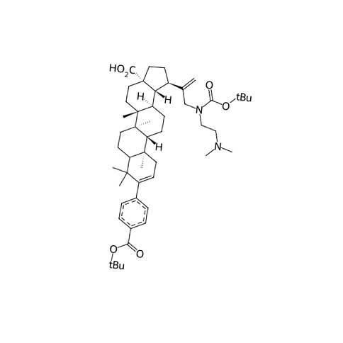 C=C(CN(CCN(C)C)C(=O)OC(C)(C)C)[C@@H]1CC[C@]2(C(=O)O)CC[C@]3(C)[C@H](CC[C@@H]4[C@@]5(C)CC=C(c6ccc(C(=O)OC(C)(C)C)cc6)C(C)(C)C5CC[C@]43C)[C@@H]12